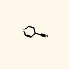 N#CC1C=COCC1